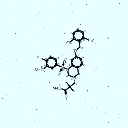 COC(=O)C(C)(C)C[C@@H]1Cc2ccc(OCc3c(F)cccc3Cl)cc2N(S(=O)(=O)c2ccc(F)c(OC)c2)C1